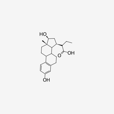 CCC(C(=O)O)[C@@H]1C[C@H](O)[C@@]2(C)CCC3c4ccc(O)cc4CCC3C12